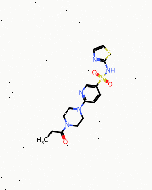 CCC(=O)N1CCN(c2ccc(S(=O)(=O)Nc3nccs3)cn2)CC1